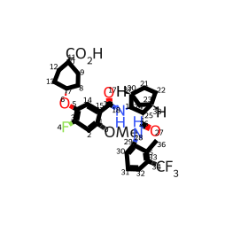 COc1cc(F)c(O[C@H]2CC[C@@H](C(=O)O)CC2)cc1C(=O)N[C@@H]1[C@H]2CC[C@H](C2)[C@@H]1C(=O)Nc1cccc(C(F)(F)F)c1C